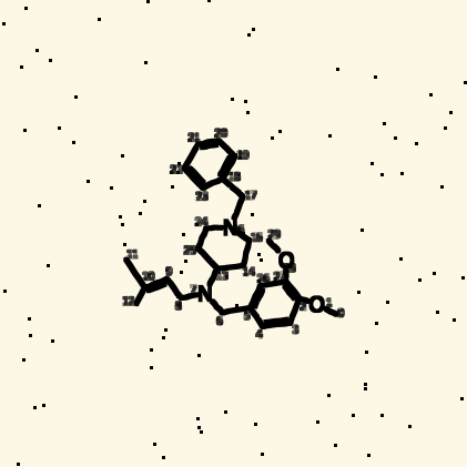 COc1ccc(CN(CC=C(C)C)C2CCN(Cc3ccccc3)CC2)cc1OC